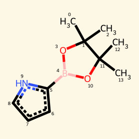 CC1(C)OB(c2ccc[nH]2)OC1(C)C